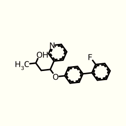 CC(O)CC(Oc1ccc(-c2ccccc2F)cc1)c1cccnc1